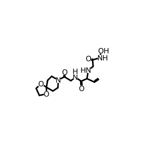 C=CC(NCC(=O)NO)C(=O)NCC(=O)N1CCC2(CC1)OCCO2